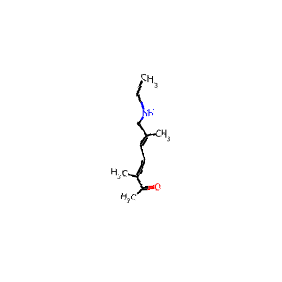 CCNC/C(C)=C/C=C(\C)C(C)=O